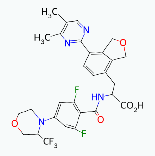 Cc1cnc(-c2ccc(CC(NC(=O)c3c(F)cc(N4CCOCC4C(F)(F)F)cc3F)C(=O)O)c3c2COC3)nc1C